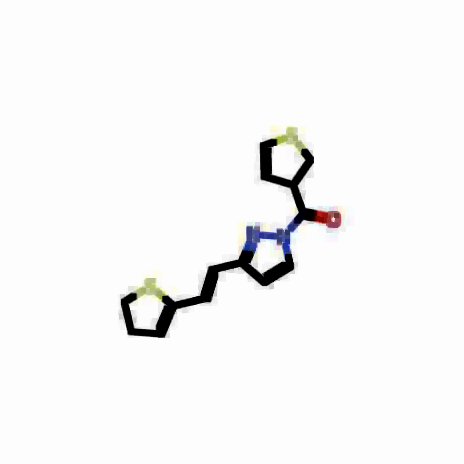 O=C(C1C=CSC1)n1ccc(/C=C/C2=CCCS2)n1